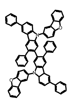 C1=CC2C(C=C1c1ccccc1)c1cc(-c3ccccc3)c(-c3cc4c(cc3-c3ccccc3)c3cc(-c5ccccc5)ccc3n4-c3ccc4oc5ccccc5c4c3)cc1N2c1ccc2oc3ccccc3c2c1